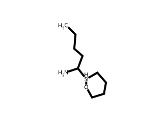 CCCCC(N)[SiH]1CCCCO1